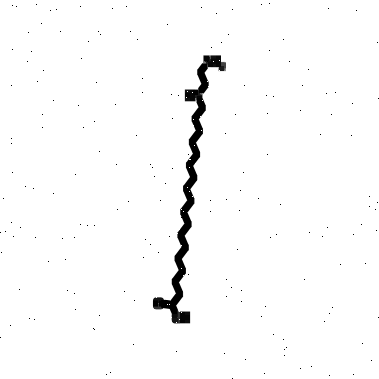 NCCNCCCCCCCCCCCCCCCCCC(=O)O